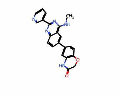 CNc1nc(-c2cccnc2)nc2ccc(-c3ccc4c(c3)NC(=O)CO4)cc12